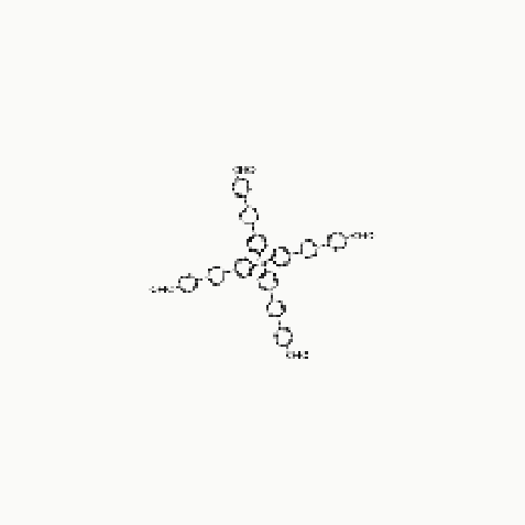 O=Cc1ccc(-c2ccc(-c3cc[c]([Ge]([c]4ccc(-c5ccc(-c6ccc(C=O)cc6)cc5)cc4)([c]4ccc(-c5ccc(-c6ccc(C=O)cc6)cc5)cc4)[c]4ccc(-c5ccc(-c6ccc(C=O)cc6)cc5)cc4)cc3)cc2)cc1